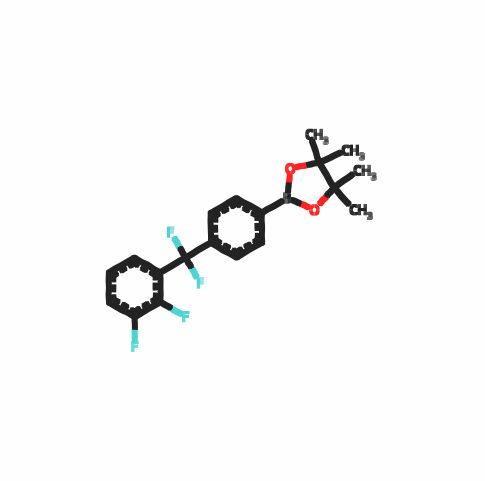 CC1(C)OB(c2ccc(C(F)(F)c3cccc(F)c3F)cc2)OC1(C)C